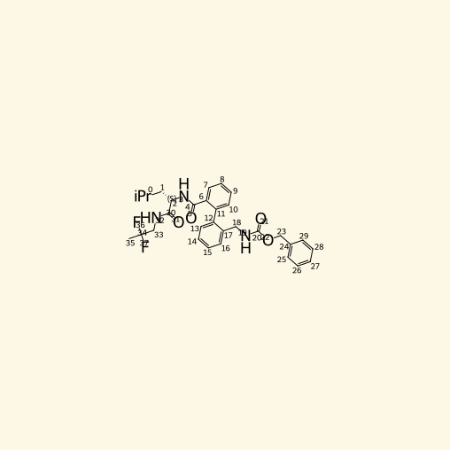 CC(C)C[C@H](NC(=O)c1ccccc1-c1ccccc1CNC(=O)OCc1ccccc1)C(=O)NCC(C)(F)F